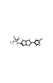 Cn1cc(C2CC3C=C(OS(=O)(=O)C(F)(F)F)CC3C2)cn1